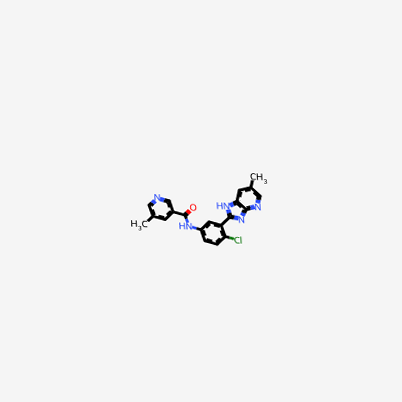 Cc1cncc(C(=O)Nc2ccc(Cl)c(-c3nc4ncc(C)cc4[nH]3)c2)c1